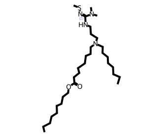 CCCCCCCCCOC(=O)CCCCCCCN(CCCCCCCC)CCCN/C(=N/SC)N(C)C